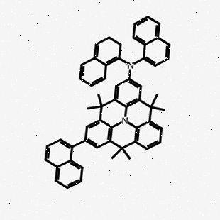 CC1(C)c2cccc3c2N2c4c1cc(-c1cccc5ccccc15)cc4C(C)(C)c1cc(N(C4=c5ccccc5=CCC4)c4cccc5ccccc45)cc(c12)C3(C)C